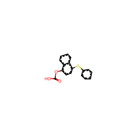 O=C(O)Oc1ccc(Sc2ccccc2)c2ccccc12